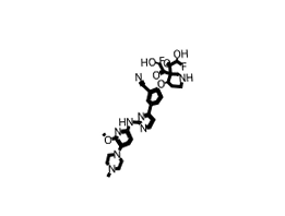 COc1nc(Nc2nccc(-c3ccc(O[C@@H]4CCNCC4(C(=O)[C@@H](O)F)C(=O)[C@@H](O)F)c(C#N)c3)n2)ccc1N1CCN(C)CC1